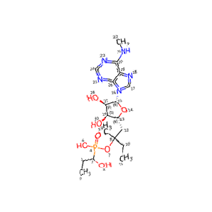 CCC(O)P(=O)(O)OC(C)(CC)C[C@H]1O[C@@H](n2cnc3c(NC)ncnc32)[C@H](O)[C@@H]1O